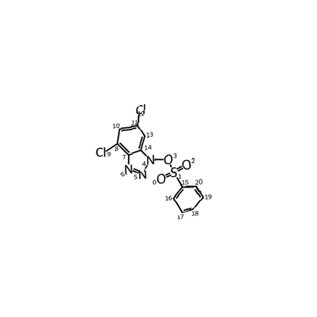 O=S(=O)(On1nnc2c(Cl)cc(Cl)cc21)c1ccccc1